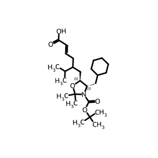 CC(C)C(CC=CC(=O)O)C[C@@H]1OC(C)(C)N(C(=O)OC(C)(C)C)[C@H]1CC1CCCCC1